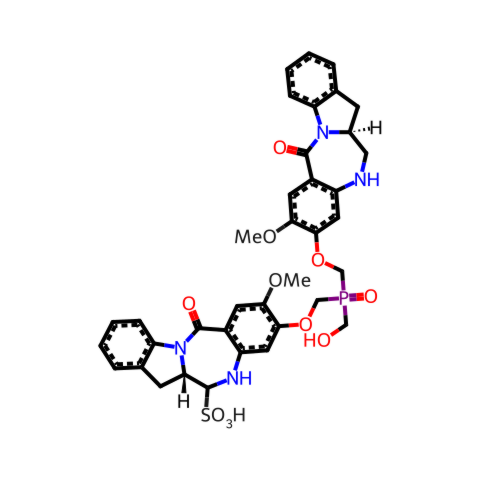 COc1cc2c(cc1OCP(=O)(CO)COc1cc3c(cc1OC)C(=O)N1c4ccccc4C[C@H]1C(S(=O)(=O)O)N3)NC[C@@H]1Cc3ccccc3N1C2=O